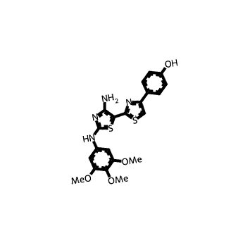 COc1cc(Nc2nc(N)c(-c3nc(-c4ccc(O)cc4)cs3)s2)cc(OC)c1OC